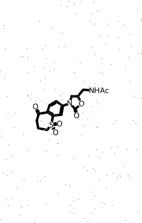 CC(=O)NCC1CN(c2ccc3c(c2)S(=O)(=O)CCCC3=O)C(=O)O1